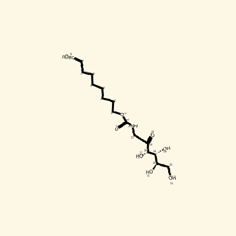 CCCCCCCCCCCCCCCCCCOC(=O)NCC(=O)[C@@H](O)[C@H](O)[C@H](O)CO